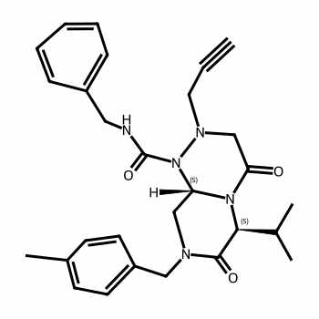 C#CCN1CC(=O)N2[C@@H](C(C)C)C(=O)N(Cc3ccc(C)cc3)C[C@@H]2N1C(=O)NCc1ccccc1